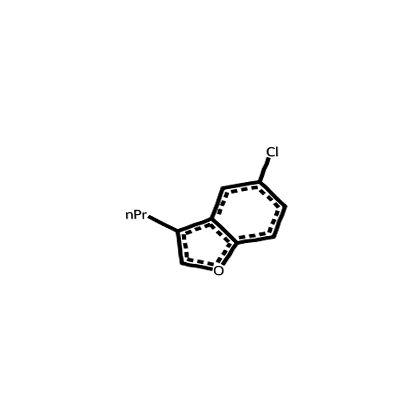 CCCc1coc2ccc(Cl)cc12